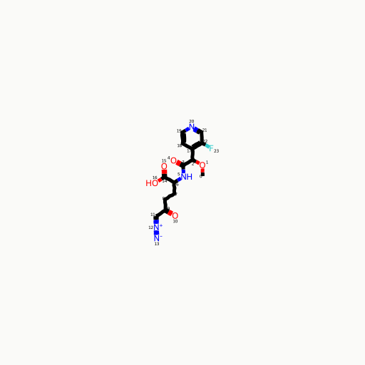 COC(C(=O)NC(CCC(=O)C=[N+]=[N-])C(=O)O)c1ccncc1F